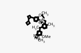 COc1cc(C(C)c2ccc(C)c(CN3CC(C)Oc4cc(C5CCC5C5CCC5)ccc4S3(=O)=O)c2)cc2nnn(C)c12